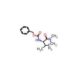 CC(C)[C@@H](NC(=O)OCc1ccccc1)C(=O)N(C)C